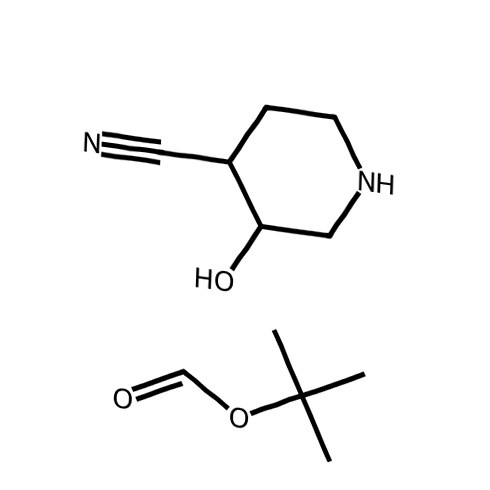 CC(C)(C)OC=O.N#CC1CCNCC1O